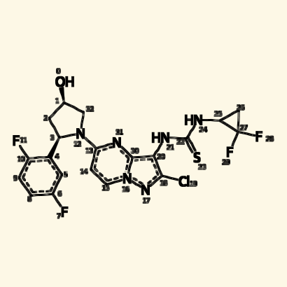 O[C@@H]1C[C@H](c2cc(F)ccc2F)N(c2ccn3nc(Cl)c(NC(=S)NC4CC4(F)F)c3n2)C1